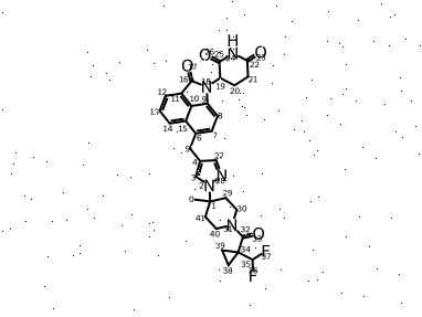 CC1(n2cc(Cc3ccc4c5c(cccc35)C(=O)N4C3CCC(=O)NC3=O)cn2)CCN(C(=O)C2(C(F)F)CC2)CC1